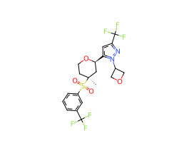 C[C@]1(S(=O)(=O)c2cccc(C(F)(F)F)c2)CCO[C@@H](c2cc(C(F)(F)F)nn2C2COC2)C1